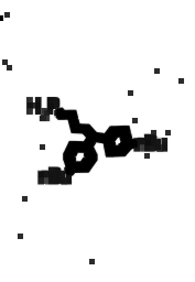 CCCCc1ccc(C(CCCCP)c2ccc(CCCC)cc2)cc1